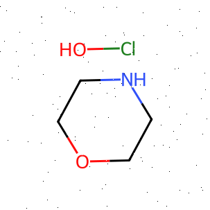 C1COCCN1.OCl